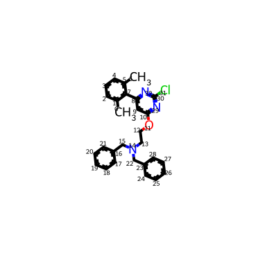 Cc1cccc(C)c1-c1cc(OCCN(Cc2ccccc2)Cc2ccccc2)nc(Cl)n1